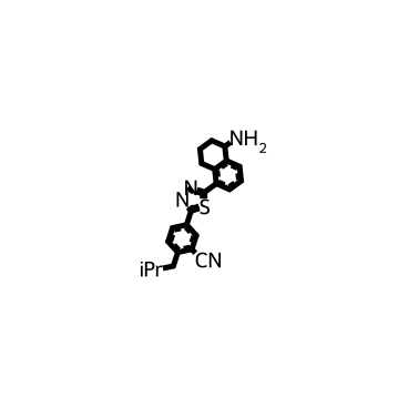 CC(C)Cc1ccc(-c2nnc(-c3cccc4c3CCCC4N)s2)cc1C#N